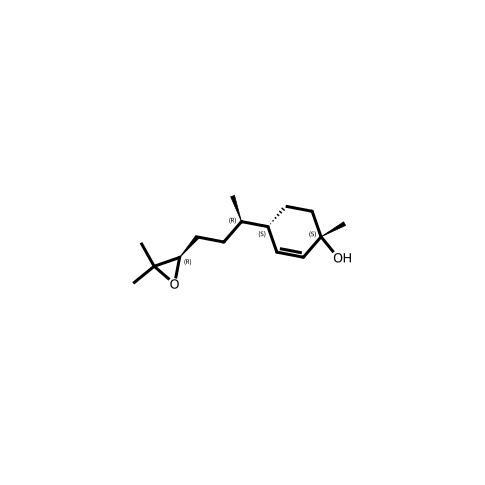 C[C@H](CC[C@H]1OC1(C)C)[C@H]1C=C[C@@](C)(O)CC1